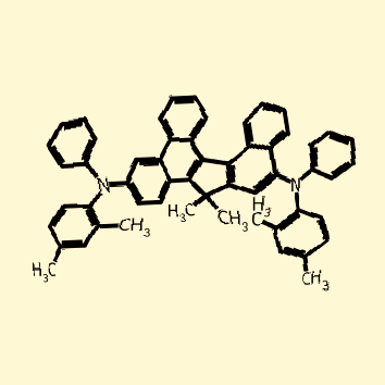 Cc1ccc(N(c2ccccc2)c2ccc3c4c(c5ccccc5c3c2)-c2c(cc(N(c3ccccc3)c3ccc(C)cc3C)c3ccccc23)C4(C)C)c(C)c1